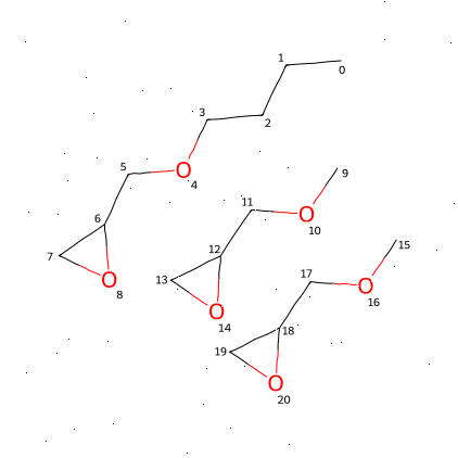 CCCCOCC1CO1.COCC1CO1.COCC1CO1